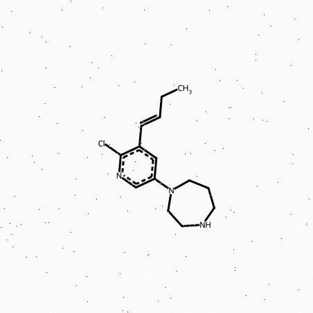 CCC=Cc1cc(N2CCCNCC2)cnc1Cl